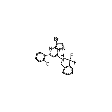 FC(F)(F)c1ccccc1CNc1cc(-c2ccccc2Cl)nc2c(Br)cnn12